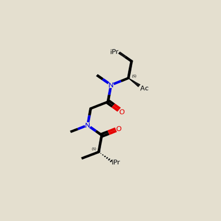 CC(=O)[C@H](CC(C)C)N(C)C(=O)CN(C)C(=O)[C@@H](C)C(C)C